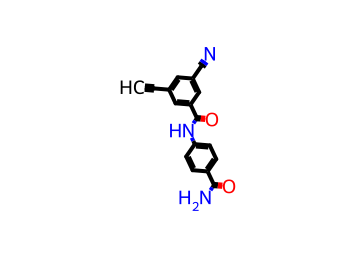 C#Cc1cc(C#N)cc(C(=O)Nc2ccc(C(N)=O)cc2)c1